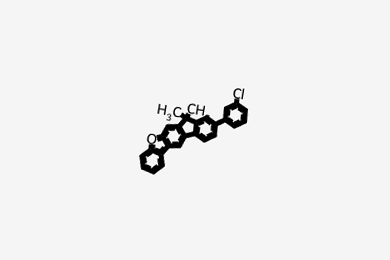 CC1(C)c2cc(-c3cccc(Cl)c3)ccc2-c2cc3c(cc21)oc1ccccc13